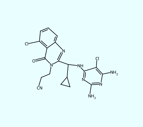 N#CCCn1c(C(Nc2nc(N)nc(N)c2Cl)C2CC2)nc2cccc(Cl)c2c1=O